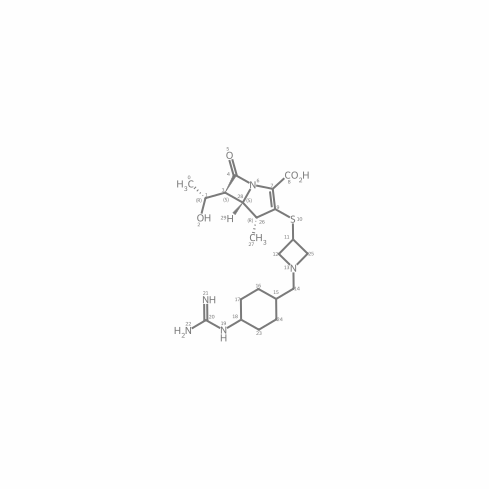 C[C@@H](O)[C@H]1C(=O)N2C(C(=O)O)=C(SC3CN(CC4CCC(NC(=N)N)CC4)C3)[C@H](C)[C@H]12